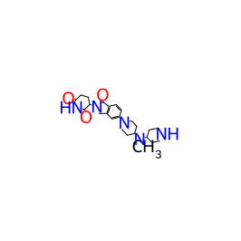 CN(C1CCNCC1)C1CCN(c2ccc3c(c2)CN(C2CCC(=O)NC2=O)C3=O)CC1